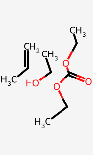 C=CC.CCO.CCOC(=O)OCC